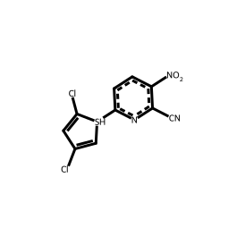 N#Cc1nc([SH]2C=C(Cl)C=C2Cl)ccc1[N+](=O)[O-]